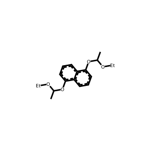 CCOC(C)Oc1cccc2c(OC(C)OCC)cccc12